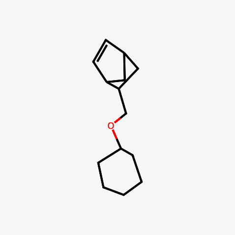 C1=CC2CC1CC2COC1CCCCC1